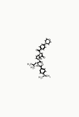 CC(C)C[C@H](NC(=O)c1ccc(N(C)C)cc1)C(=O)N1CCC2[C@H]1C(=O)CN2C(=O)c1ccc(N2CCOCC2)nc1